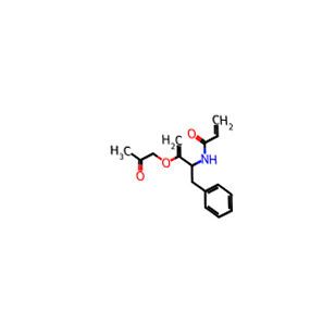 C=CC(=O)NC(Cc1ccccc1)C(=C)OCC(C)=O